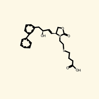 O=C(O)CCCSCCN1C(=O)OC[C@@H]1/C=C/[C@@H](O)Cc1cccc(-c2ccccc2)c1